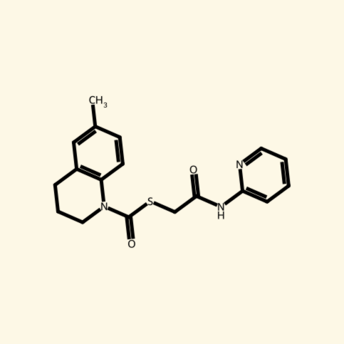 Cc1ccc2c(c1)CCCN2C(=O)SCC(=O)Nc1ccccn1